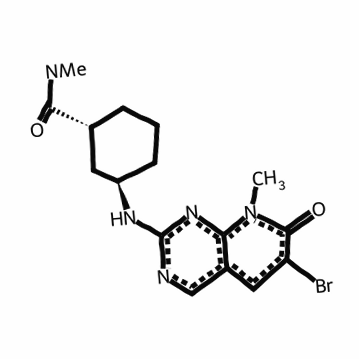 CNC(=O)[C@@H]1CCC[C@@H](Nc2ncc3cc(Br)c(=O)n(C)c3n2)C1